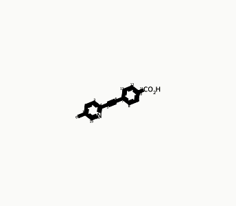 Cc1ccc(C#Cc2ccc(C(=O)O)cc2)nc1